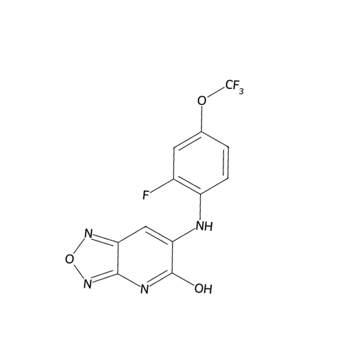 Oc1nc2nonc2cc1Nc1ccc(OC(F)(F)F)cc1F